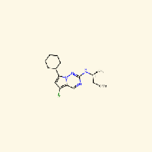 COC[C@H](C)Nc1ncc2c(Br)cc(C3CCCCC3)n2n1